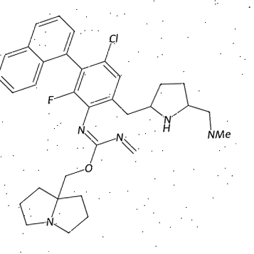 C=N/C(=N\c1c(CC2CCC(CNC)N2)cc(Cl)c(-c2cccc3ccccc23)c1F)OCC12CCCN1CCC2